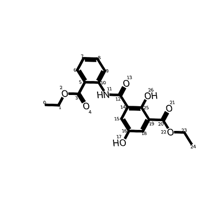 CCOC(=O)c1ccccc1NC(=O)c1cc(O)cc(C(=O)OCC)c1O